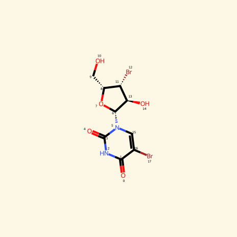 O=c1[nH]c(=O)n([C@@H]2O[C@H](CO)[C@H](Br)[C@H]2O)cc1Br